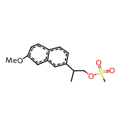 COc1ccc2ccc(C(C)COS(C)(=O)=O)cc2c1